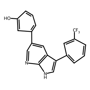 Oc1cccc(-c2cnc3[nH]cc(-c4cccc(C(F)(F)F)c4)c3c2)c1